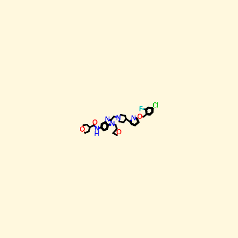 O=C(Nc1ccc2c(c1)nc(CN1CCC(c3cccc(OCc4ccc(Cl)cc4F)n3)CC1)n2CC1CCO1)C1CCOCC1